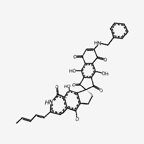 C/C=C/C=C/c1cc2c(Cl)c3c(c(O)c2c(=O)[nH]1)[C@@]1(CC3)C(=O)c2c(O)c3c(c(O)c2C1=O)C(=O)C(NCc1ccccc1)=CC3=O